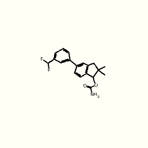 CC1(C)Cc2cc(-c3cccc(C(F)F)c3)ccc2C1OC(N)=O